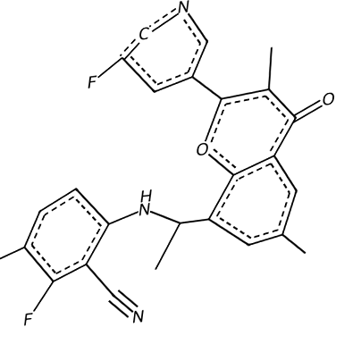 Cc1cc(C(C)Nc2ccc(F)c(F)c2C#N)c2oc(-c3cncc(F)c3)c(C)c(=O)c2c1